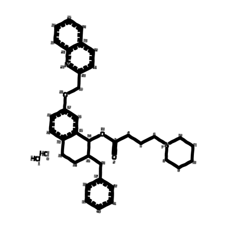 Cl.Cl.O=C(CCCN1CCCCC1)OC1c2cc(OCc3ccc4ccccc4n3)ccc2CCC1Cc1ccccc1